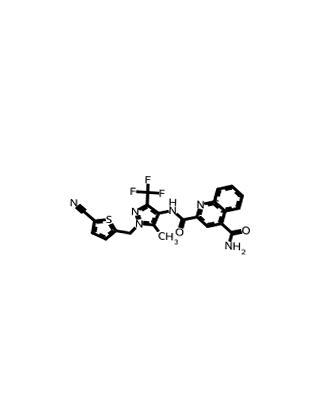 Cc1c(NC(=O)c2cc(C(N)=O)c3ccccc3n2)c(C(F)(F)F)nn1Cc1ccc(C#N)s1